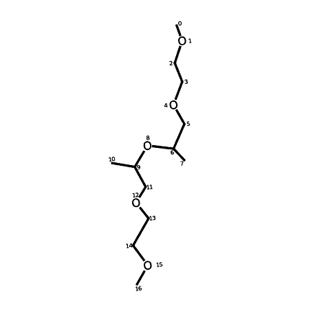 COCCOCC(C)OC(C)COCCOC